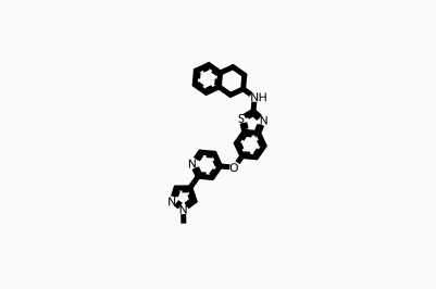 Cn1cc(-c2cc(Oc3ccc4nc(NC5CCc6ccccc6C5)sc4c3)ccn2)cn1